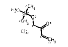 C=CC(=O)CO[N+](C)(C)C.[Cl-]